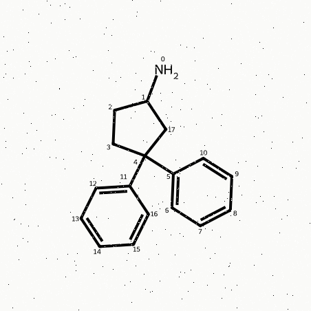 NC1CCC(c2ccccc2)(c2ccccc2)C1